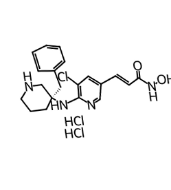 Cl.Cl.O=C(/C=C/c1cnc(N[C@@]2(Cc3ccccc3)CCCNC2)c(Cl)c1)NO